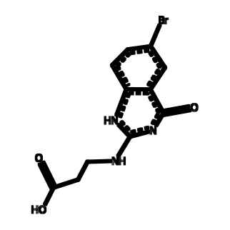 O=C(O)CCNc1nc(=O)c2cc(Br)ccc2[nH]1